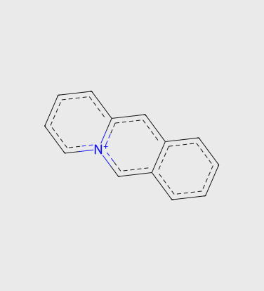 c1ccc2c[n+]3ccccc3cc2c1